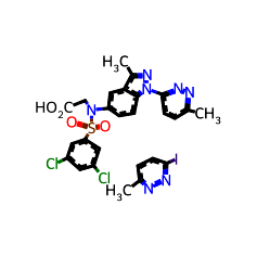 Cc1ccc(-n2nc(C)c3cc(N(CC(=O)O)S(=O)(=O)c4cc(Cl)cc(Cl)c4)ccc32)nn1.Cc1ccc(I)nn1